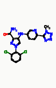 Cn1nnnc1-c1ccc(Nc2cn(-c3c(Cl)cccc3Cl)nc2C(N)=O)cn1